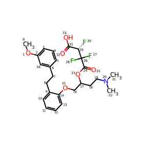 COc1cccc(CCc2ccccc2OCC(CCN(C)C)OC(=O)C(F)(F)[C@@H](F)C(=O)O)c1